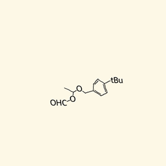 CC(OC=O)OCc1ccc(C(C)(C)C)cc1